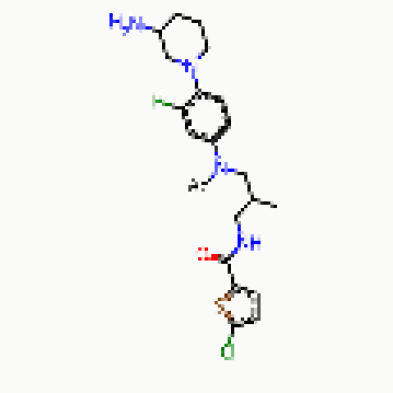 CC(=O)N(CC(C)CNC(=O)c1ccc(Cl)s1)c1ccc(N2CCCC(N)C2)c(F)c1